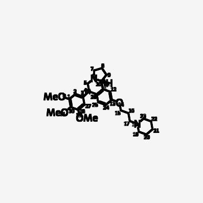 COc1cc([C@H]2CN3CCC[C@@H]3c3cc(OCCCN4CCCCC4)ccc32)cc(OC)c1OC